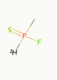 [2H]P(C)(F)=S